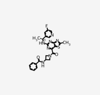 Cc1nc2nc(N[C@@H](C)c3cncc(F)c3)nc(C(=O)N3CC(NC(=O)c4ccccc4)C3)c2s1